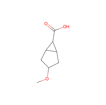 COC1CC2C(C1)C2C(=O)O